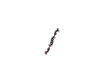 C=C(C)C(=O)OCOc1ccc(CCC(=O)Oc2ccc(S(=O)(=O)c3ccc(OC(=O)CCc4ccc(OCOC(=O)C(=C)C)cc4)cc3)cc2)cc1